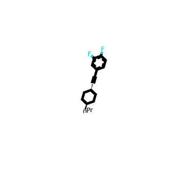 CCC[C@H]1CC[C@H](C#Cc2ccc(F)c(F)c2)CC1